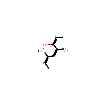 C\C=C(C=O)/C=C(\C(O)=C/C)C(F)(F)F